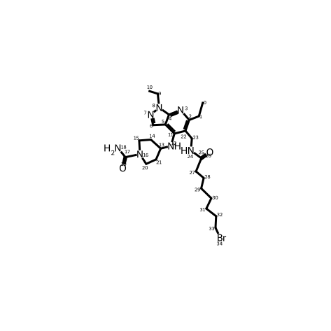 CCc1nc2c(cnn2CC)c(NC2CCN(C(N)=O)CC2)c1CNC(=O)CCCCCCCBr